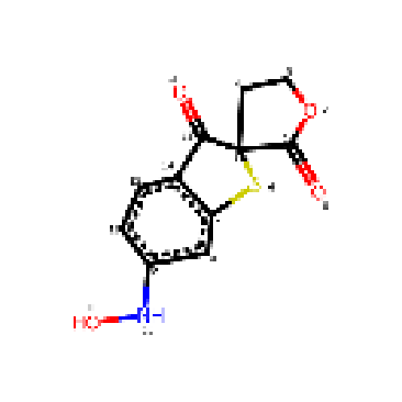 O=C1OCCC12Sc1cc(NO)ccc1C2=O